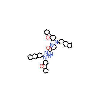 c1ccc2cc3cc(N(c4ccc5c(c4)oc4ccccc45)c4ccc5c(n4)oc4nc(N(c6ccc7cc8ccccc8cc7c6)c6ccc7c(c6)oc6ccccc67)nnc45)ccc3cc2c1